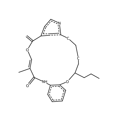 C=C1O/C=C(\C)C(=O)Nc2ccccc2OC(CCC)CCCCc2cc1ccn2